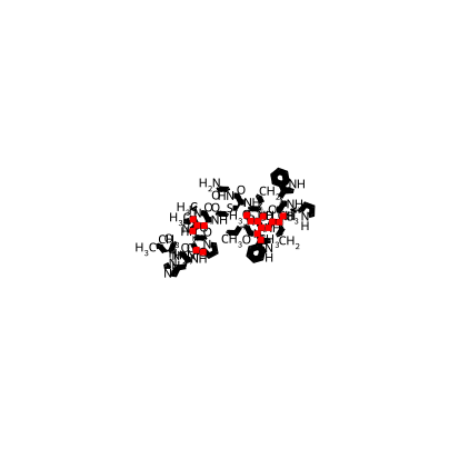 C=CC[C@H](NC(=O)[C@H](Cc1c[nH]c2ccccc12)NC(=O)[C@@H]1CCCN1)C(=O)N[C@@H](Cc1c[nH]c2ccccc12)C(=O)N(C)[C@@H](CCCC)C(=O)N(C)[C@@H](CCCC)C(=O)N[C@@H](CC=C)C(=O)N[C@@H](CSCC(=O)N[C@@H](Cc1cnc[nH]1)C(=O)N(C)[C@@H](C)C(=O)N[C@@H](CC(N)=O)C(=O)N1CCC[C@H]1C(=O)N[C@@H](Cc1cnc[nH]1)C(=O)N[C@H](C=O)CC(C)C)C(=O)NCC(N)=O